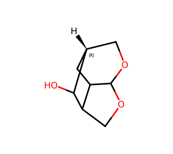 OC1C2COC3OC[C@H]1CC32